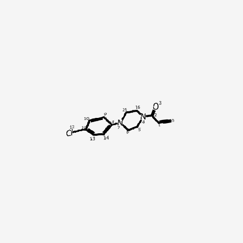 C=CC(=O)N1CCN(c2ccc(Cl)cc2)CC1